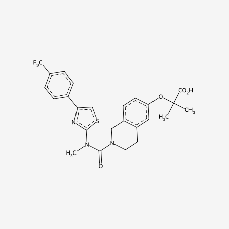 CN(C(=O)N1CCc2cc(OC(C)(C)C(=O)O)ccc2C1)c1nc(-c2ccc(C(F)(F)F)cc2)cs1